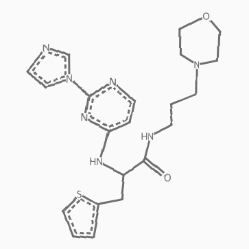 O=C(NCCCN1CCOCC1)C(Cc1cccs1)Nc1ccnc(-n2ccnc2)n1